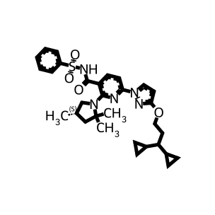 C[C@@H]1CN(c2nc(-n3ccc(OCCC(C4CC4)C4CC4)n3)ccc2C(=O)NS(=O)(=O)c2ccccc2)C(C)(C)C1